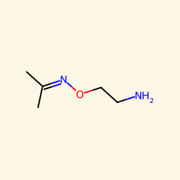 CC(C)=NOCCN